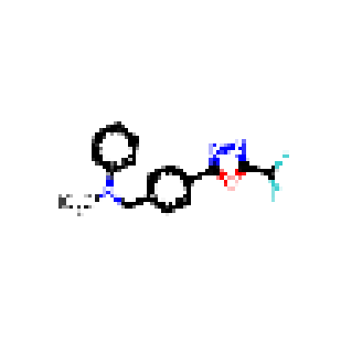 O=C(O)N(Cc1ccc(-c2nnc(C(F)F)o2)cc1)c1ccccc1